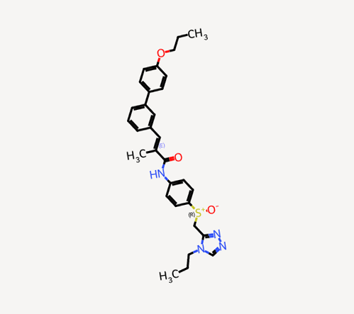 CCCOc1ccc(-c2cccc(/C=C(\C)C(=O)Nc3ccc([S@@+]([O-])Cc4nncn4CCC)cc3)c2)cc1